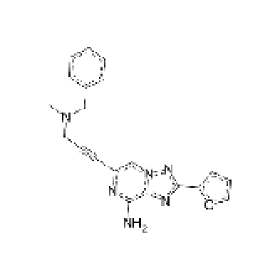 CN(CC#Cc1cn2nc(-c3ccco3)nc2c(N)n1)Cc1ccccc1